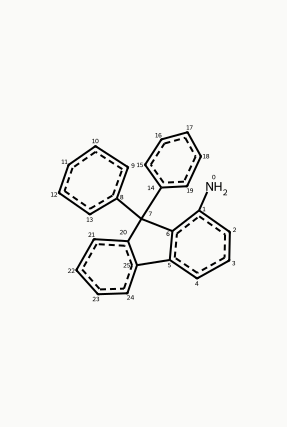 Nc1cccc2c1C(c1ccccc1)(c1ccccc1)c1ccccc1-2